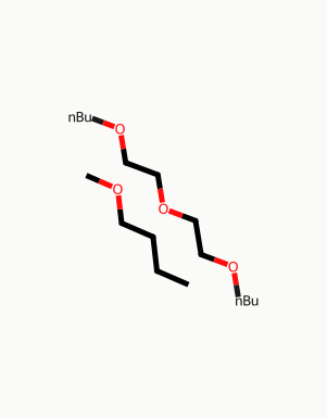 CCCCOC.CCCCOCCOCCOCCCC